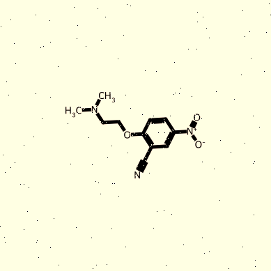 CN(C)CCOc1ccc([N+](=O)[O-])cc1C#N